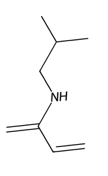 C=CC(=C)NCC(C)C